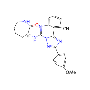 COc1ccc(-c2nc3c4c(C#N)cccc4nc(N[C@@H]4CCCCNC4=O)n3n2)cc1